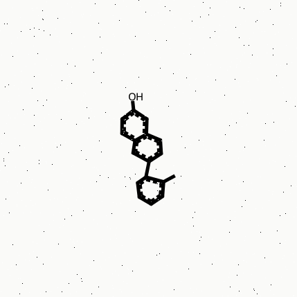 Cc1ccccc1-c1ccc2cc(O)ccc2c1